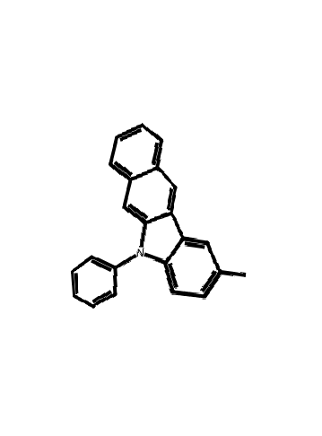 Cc1ccc2c(c1)c1cc3ccccc3cc1n2-c1ccccc1